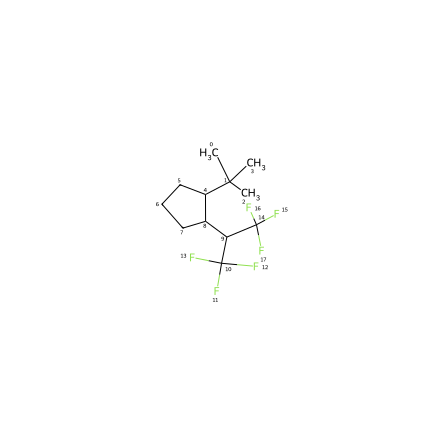 CC(C)(C)C1CCCC1C(C(F)(F)F)C(F)(F)F